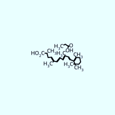 CC(C=CC1=C(C)CCCC1(C)C)=CC=CC(C)=CCC(C)C(=O)O.CCC(=O)O